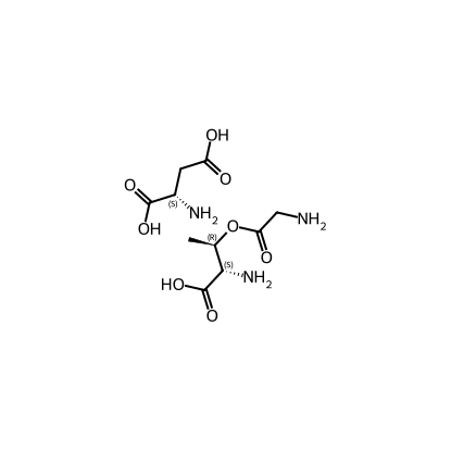 C[C@@H](OC(=O)CN)[C@H](N)C(=O)O.N[C@@H](CC(=O)O)C(=O)O